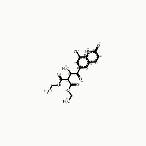 CCOC(=O)C(C(=O)OCC)C(C)C(=O)c1cc(Cl)c2[nH]c(=O)ccc2c1